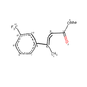 COC(=O)C=C(C)c1cccc(C(F)(F)F)c1